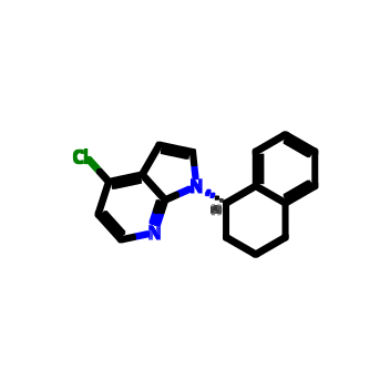 Clc1ccnc2c1ccn2[C@H]1CCCc2ccccc21